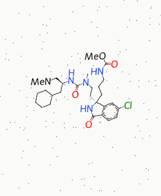 CNC[C@H](CC1CCCCC1)NC(=O)N(C)CC[C@@]1(CCCNC(=O)OC)NC(=O)c2ccc(Cl)cc21